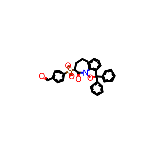 O=Cc1ccc(S(=O)(=O)C2CCCCN(OC(c3ccccc3)(c3ccccc3)c3ccccc3)C2=O)cc1